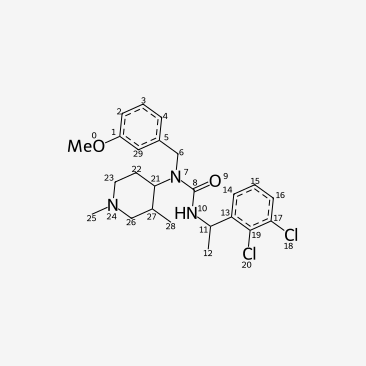 COc1cccc(CN(C(=O)NC(C)c2cccc(Cl)c2Cl)C2CCN(C)CC2C)c1